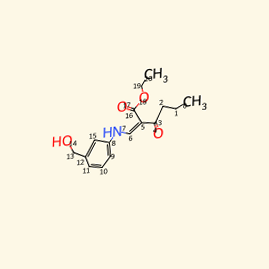 CCCC(=O)C(=CNc1cccc(CO)c1)C(=O)OCC